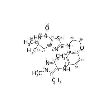 Cc1nn(C)c(C)c1Nc1ccc2c(c1)N(c1nc3c(s1)C(=O)NC(C)(C)C3)CCO2